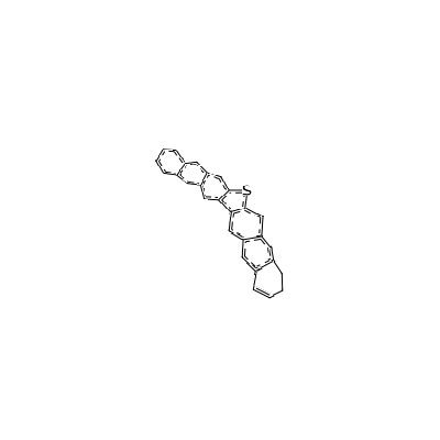 C1=Cc2cc3cc4c(cc3cc2CC1)sc1cc2cc3ccccc3cc2cc14